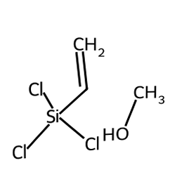 C=C[Si](Cl)(Cl)Cl.CO